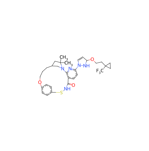 CC1(C)CC2CCCOc3ccc(cc3)SNC(=O)c3ccc(N4C=CC(OCCC5(C(F)(F)F)CC5)N4)nc3N1C2